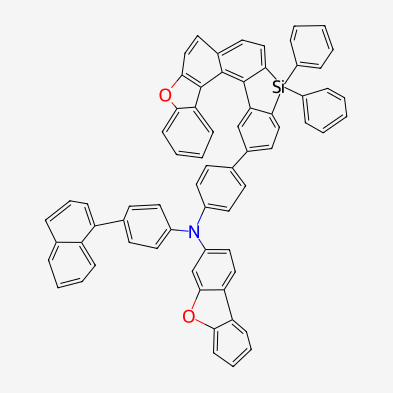 c1ccc([Si]2(c3ccccc3)c3ccc(-c4ccc(N(c5ccc(-c6cccc7ccccc67)cc5)c5ccc6c(c5)oc5ccccc56)cc4)cc3-c3c2ccc2ccc4oc5ccccc5c4c32)cc1